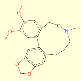 COc1cc2c(cc1OC)-c1cc3c(cc1CCCN(C)CC2)OCO3